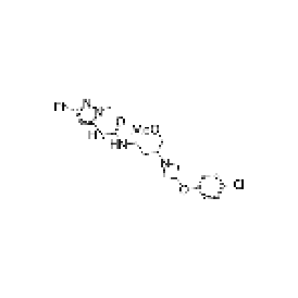 CCc1cc(NC(=O)NCC[C@@H](COC)N2CC(Oc3ccc(Cl)cc3)C2)n(C)n1